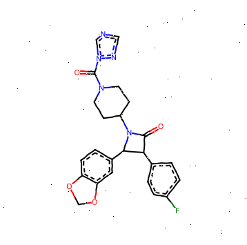 O=C1C(c2ccc(F)cc2)C(c2ccc3c(c2)OCO3)N1C1CCN(C(=O)n2cncn2)CC1